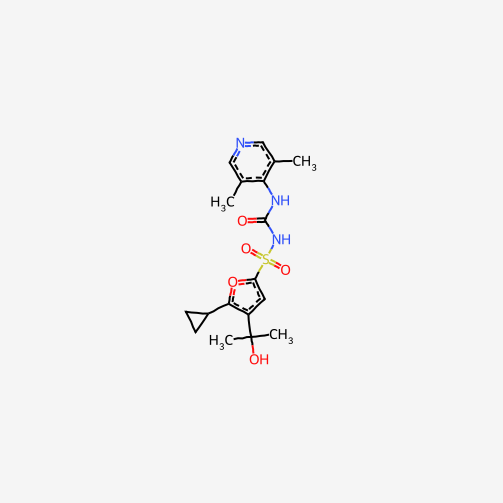 Cc1cncc(C)c1NC(=O)NS(=O)(=O)c1cc(C(C)(C)O)c(C2CC2)o1